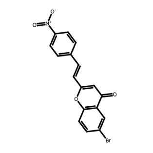 O=c1cc(C=Cc2ccc([N+](=O)[O-])cc2)oc2ccc(Br)cc12